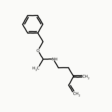 C=CC(=C)CCNC(C)OCc1ccccc1